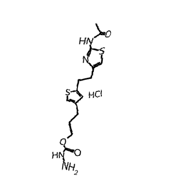 CC(=O)Nc1nc(CCc2cc(CCCOC(=O)NN)cs2)cs1.Cl